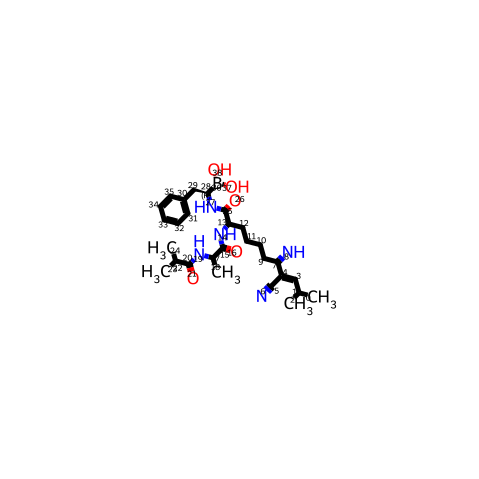 CC(C)C=C(C#N)C(=N)CCCCC(NC(=O)C(C)NC(=O)C(C)C)C(=O)N[C@@H](Cc1ccccc1)B(O)O